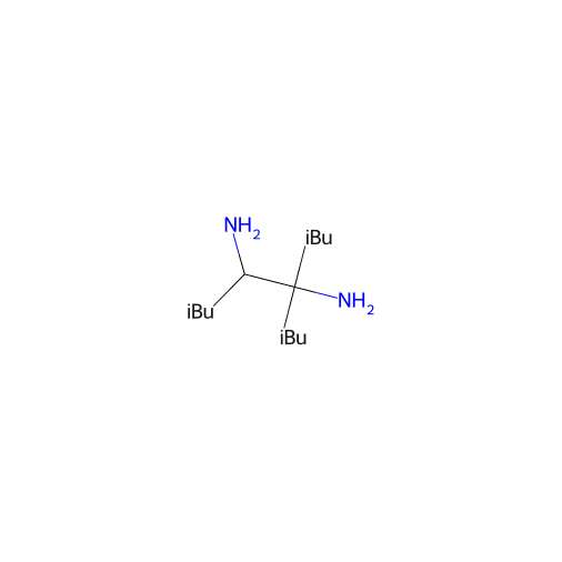 CCC(C)C(N)C(N)(C(C)CC)C(C)CC